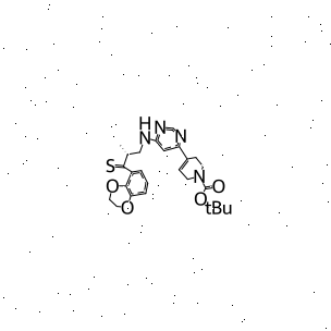 C[C@H](CNc1cc(C2=CCN(C(=O)OC(C)(C)C)CC2)ncn1)C(=S)c1cccc2c1OCCO2